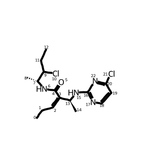 CC/C=C(\C(=O)N[C@H](C)C(Cl)CC)[C@H](C)Nc1nccc(Cl)n1